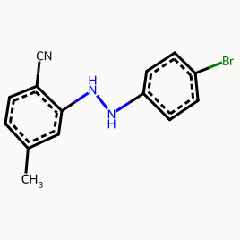 Cc1ccc(C#N)c(NNc2ccc(Br)cc2)c1